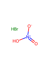 Br.O=[N+]([O-])O